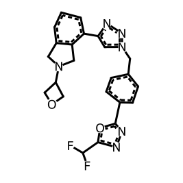 FC(F)c1nnc(-c2ccc(Cn3cc(-c4cccc5c4CN(C4COC4)C5)nn3)cc2)o1